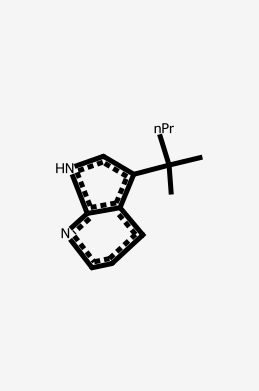 CCCC(C)(C)c1c[nH]c2ncccc12